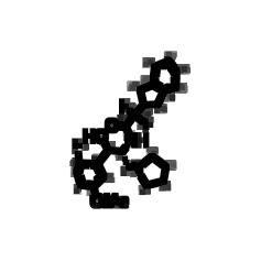 COc1ccc(F)c(C(O)[C@@H](CN2CCCC2)NC(=O)C(F)(F)C2Cc3ccccc3C2)c1